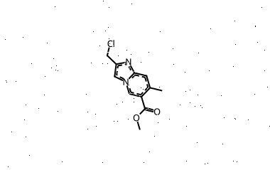 COC(=O)c1cn2cc(CCl)nc2cc1C